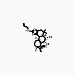 C=CCNc1nc2c(s1)CC(C)(C)[C@@H]1C2[C@@H]2CC[C@H]3C(=C)C(=O)[C@@]2([C@@H]3O)[C@@H](O)[C@H]1O